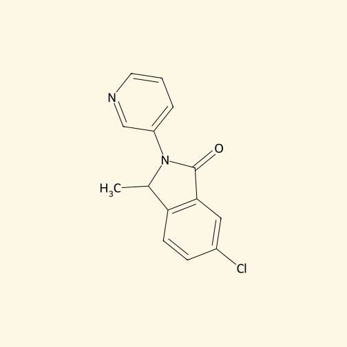 CC1c2ccc(Cl)cc2C(=O)N1c1cccnc1